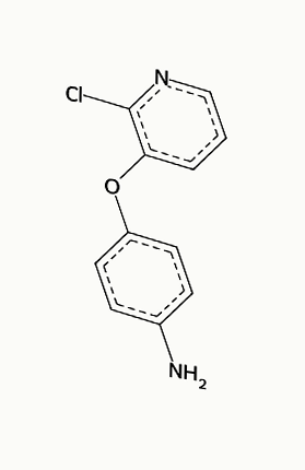 Nc1ccc(Oc2cccnc2Cl)cc1